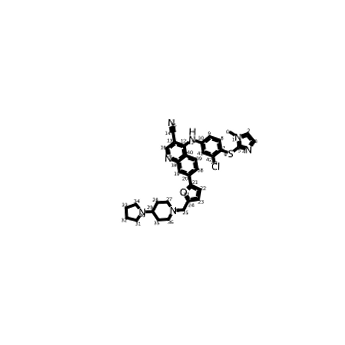 Cn1ccnc1Sc1ccc(Nc2c(C#N)cnc3cc(-c4ccc(CN5CCC(N6CCCC6)CC5)o4)ccc23)cc1Cl